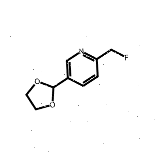 FCc1ccc(C2OCCO2)cn1